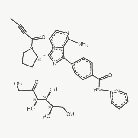 CC#CC(=O)N1CCC[C@H]1c1nc(-c2ccc(C(=O)Nc3ccccn3)cc2)c2c(N)nccn12.O=C(CO)[C@H](O)[C@@H](O)[C@H](O)CO